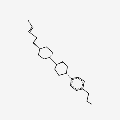 CCCc1ccc([C@H]2CC[C@H]([C@H]3CC[C@H](CCC=CF)CC3)CC2)cc1